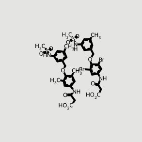 Cc1cc(COc2c(Br)cc(NC(=O)CC(=O)O)cc2Br)cc(NS(C)(=O)=O)c1.Cc1cc(COc2c(C)cc(NC(=O)CC(=O)O)cc2C)cc(NS(C)(=O)=O)c1